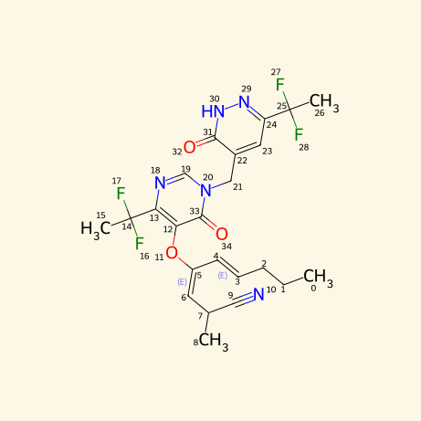 CCC/C=C/C(=C\C(C)C#N)Oc1c(C(C)(F)F)ncn(Cc2cc(C(C)(F)F)n[nH]c2=O)c1=O